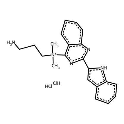 C[N+](C)(CCCN)c1nc(-c2cc3ccccc3[nH]2)nc2ccccc12.Cl.Cl